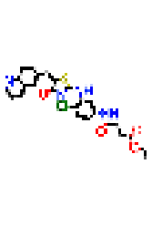 CCOC(=O)CCC(=O)Nc1ccc(Cl)c(NC2=NC(=O)C(=Cc3ccc4ncccc4c3)S2)c1